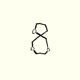 C1COC2(C1)COCCOC2